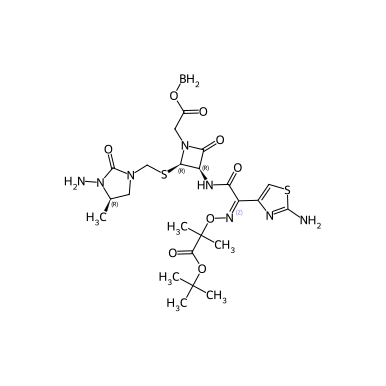 BOC(=O)CN1C(=O)[C@@H](NC(=O)/C(=N\OC(C)(C)C(=O)OC(C)(C)C)c2csc(N)n2)[C@H]1SCN1C[C@@H](C)N(N)C1=O